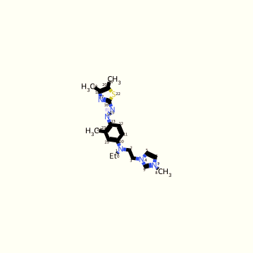 CCN(CCn1cc[n+](C)c1)c1ccc(/N=N/c2nc(C)c(C)s2)c(C)c1